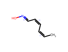 C\C=C/C=C\C=N\O